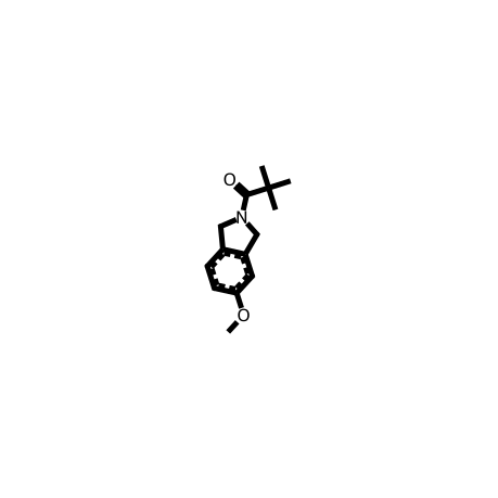 COc1ccc2c(c1)CN(C(=O)C(C)(C)C)C2